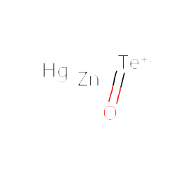 O=[Te+].[Hg].[Zn]